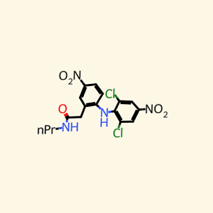 CCCNC(=O)Cc1cc([N+](=O)[O-])ccc1Nc1c(Cl)cc([N+](=O)[O-])cc1Cl